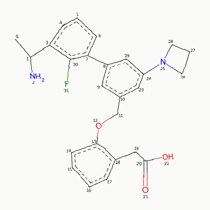 CC(N)c1cccc(-c2cc(COc3ccccc3CC(=O)O)cc(N3CCC3)c2)c1F